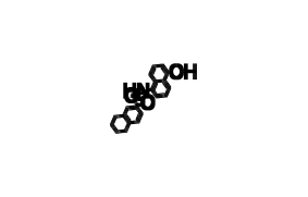 O=S(=O)(Nc1cccc2c(O)cccc12)c1ccc2c(c1)CCCC2